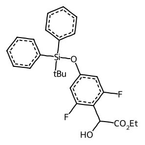 CCOC(=O)C(O)c1c(F)cc(O[Si](c2ccccc2)(c2ccccc2)C(C)(C)C)cc1F